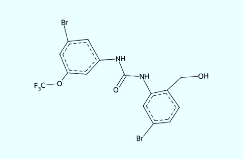 O=C(Nc1cc(Br)cc(OC(F)(F)F)c1)Nc1cc(Br)ccc1CO